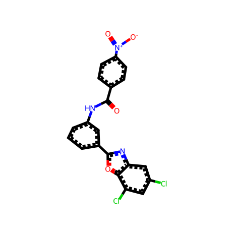 O=C(Nc1cccc(-c2nc3cc(Cl)cc(Cl)c3o2)c1)c1ccc([N+](=O)[O-])cc1